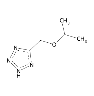 CC(C)OCc1nn[nH]n1